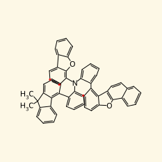 CC1(C)c2ccccc2-c2c(-c3ccccc3N(c3ccccc3-c3cccc4oc5c6ccccc6ccc5c34)c3cccc4c3oc3ccccc34)cccc21